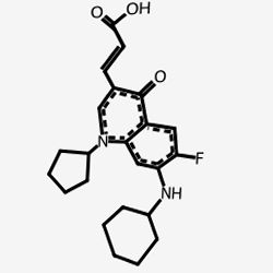 O=C(O)C=Cc1cn(C2CCCC2)c2cc(NC3CCCCC3)c(F)cc2c1=O